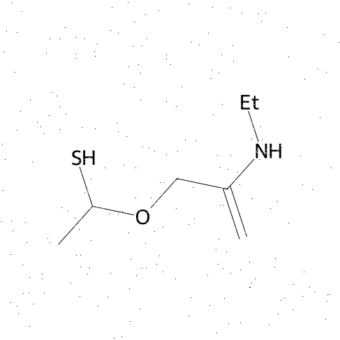 C=C(COC(C)S)NCC